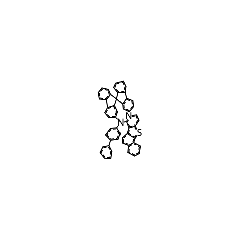 c1ccc(-c2ccc(N(c3ccc4c(c3)C3(c5ccccc5-c5ccccc53)c3ccccc3-4)c3nccc4sc5c6ccccc6ccc5c34)cc2)cc1